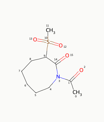 CC(=O)N1CCCCCC(S(C)(=O)=O)C1=O